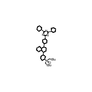 CC(C)(C)CP(=O)(CC(C)(C)C)c1cccc(-c2ccc(-c3ccc(-c4nc(-c5ccccc5)nc(-c5ccccc5)n4)cc3)c3ccccc23)c1